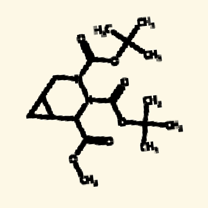 COC(=O)C1C2CC2CN(C(=O)OC(C)(C)C)N1C(=O)OC(C)(C)C